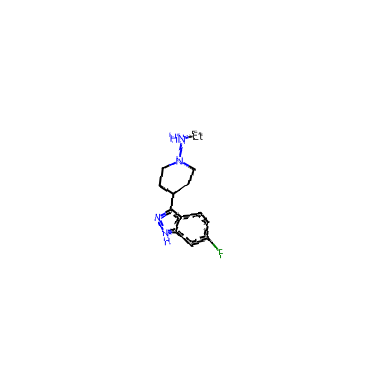 CCNN1CCC(c2n[nH]c3cc(F)ccc23)CC1